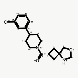 O=C([C@H]1C[C@]2(COCN2)C1)N1CCC(c2cccc(Cl)c2)CC1